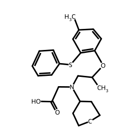 Cc1ccc(OC(C)CN(CC(=O)O)C2CCCCC2)c(Sc2ccccc2)c1